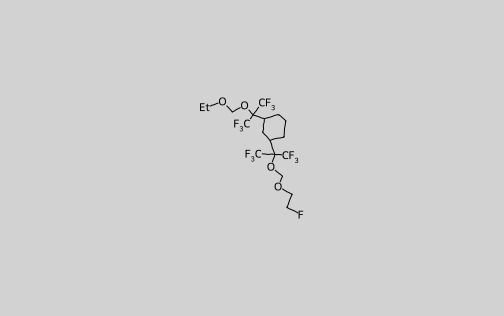 CCOCOC(C1CCCC(C(OCOCCF)(C(F)(F)F)C(F)(F)F)C1)(C(F)(F)F)C(F)(F)F